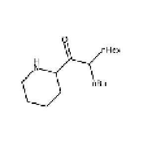 CCCCCCC(CCCC)C(=O)C1CCCCN1